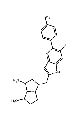 CC1CCC2C(Cc3cc4nc(-c5ccc(N)cc5)c(F)cc4[nH]3)CC(N)C12